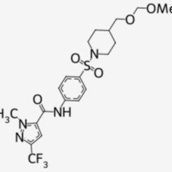 COCOCC1CCN(S(=O)(=O)c2ccc(NC(=O)c3cc(C(F)(F)F)nn3C)cc2)CC1